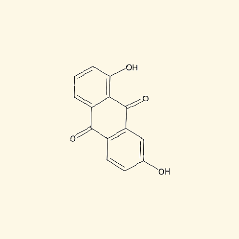 O=C1c2ccc(O)cc2C(=O)c2c(O)cccc21